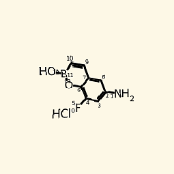 Cl.Nc1cc(F)c2c(c1)C=CB(O)O2